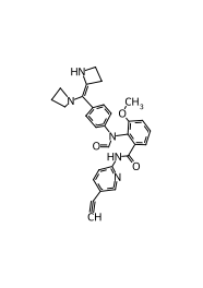 C#Cc1ccc(NC(=O)c2cccc(OC)c2N(C=O)c2ccc(C(=C3CCN3)N3CCC3)cc2)nc1